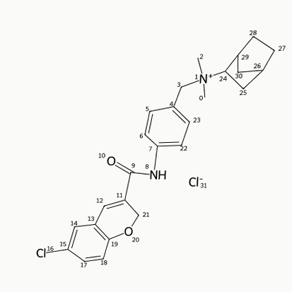 C[N+](C)(Cc1ccc(NC(=O)C2=Cc3cc(Cl)ccc3OC2)cc1)C1CC2CCC1C2.[Cl-]